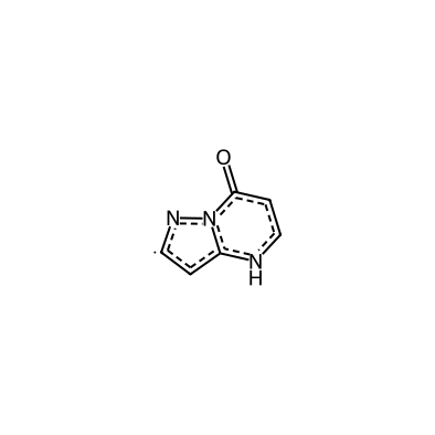 O=c1cc[nH]c2c[c]nn12